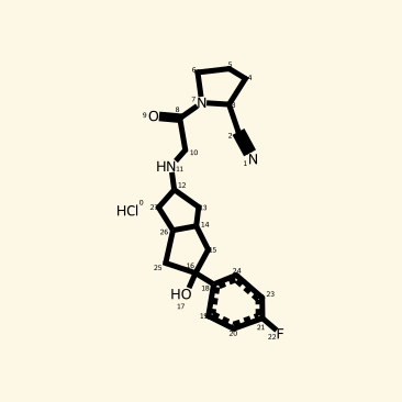 Cl.N#CC1CCCN1C(=O)CNC1CC2CC(O)(c3ccc(F)cc3)CC2C1